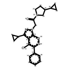 O=C(Cn1nc(C2CC2)c2c(Cl)c(-c3ccccc3)nnc21)N1CCC(C2CC2)C1